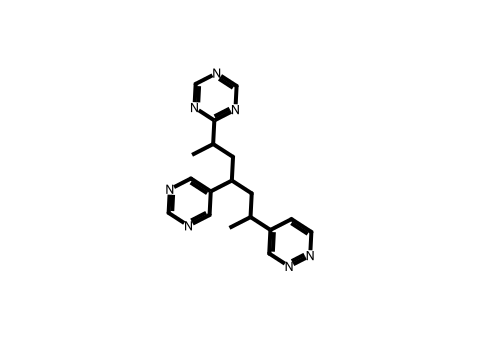 CC(CC(CC(C)c1ncncn1)c1cncnc1)c1ccnnc1